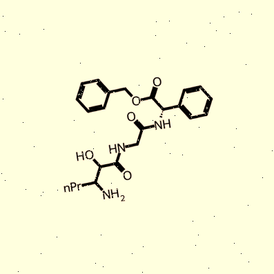 CCCC(N)C(O)C(=O)NCC(=O)N[C@H](C(=O)OCc1ccccc1)c1ccccc1